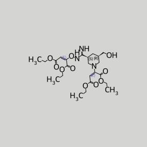 CCOC(=O)/C=C(/ONC(=N)[C@H]1C[C@@H](CO)CN(/C(=C/C(=O)OCC)C(=O)OCC)C1)C(=O)OCC